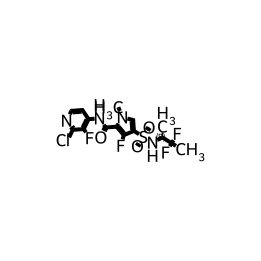 C[C@@H](NS(=O)(=O)c1cn(C)c(C(=O)Nc2ccnc(Cl)c2F)c1F)C(C)(F)F